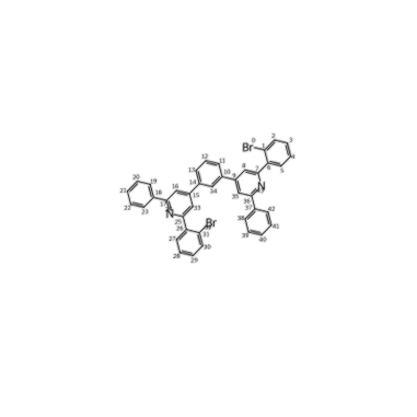 Brc1ccccc1-c1cc(-c2cccc(-c3cc(-c4ccccc4)nc(-c4ccccc4Br)c3)c2)cc(-c2ccccc2)n1